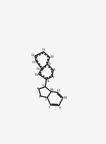 C1=CC2CCC(c3ccc4ccccc4c3)C2C=C1